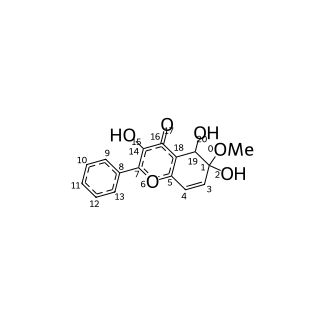 COC1(O)C=Cc2oc(-c3ccccc3)c(O)c(=O)c2C1O